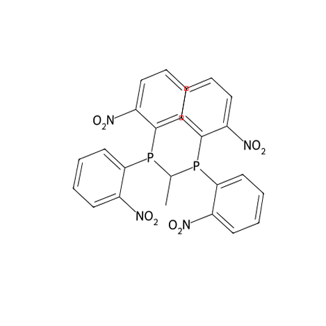 CC(P(c1ccccc1[N+](=O)[O-])c1ccccc1[N+](=O)[O-])P(c1ccccc1[N+](=O)[O-])c1ccccc1[N+](=O)[O-]